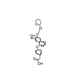 COc1cc2c(Oc3ccc(CC(=O)O)cc3)ncnc2cc1OCCOC1CCCCO1